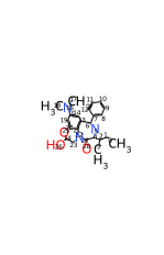 CCC(C)[C@@H]1N=C(c2ccccc2)c2cc(N(C)C)ccc2N(CC(=O)O)C1=O